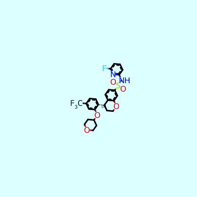 O=S(=O)(Nc1cccc(F)n1)c1ccc2c(c1)OCC[C@@H]2c1ccc(C(F)(F)F)cc1OC1CCOCC1